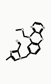 COCN1c2cc(Cn3[c]c(C)nc3C=O)ccc2Sc2nccnc21